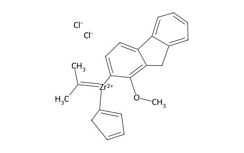 COc1[c]([Zr+2]([C]2=CC=CC2)=[C](C)C)ccc2c1Cc1ccccc1-2.[Cl-].[Cl-]